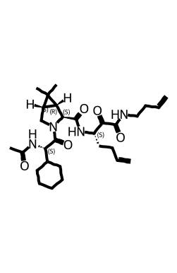 C=CCCNC(=O)C(=O)[C@H](CCC=C)NC(=O)[C@@H]1[C@@H]2[C@H](CN1C(=O)[C@@H](NC(C)=O)C1CCCCC1)C2(C)C